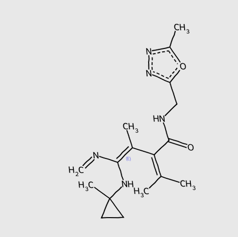 C=N/C(NC1(C)CC1)=C(\C)C(C(=O)NCc1nnc(C)o1)=C(C)C